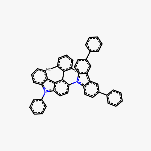 N#Cc1cccc(C#N)c1-c1c(-n2c3ccc(-c4ccccc4)cc3c3cc(-c4ccccc4)ccc32)ccc2c1c1ccccc1n2-c1ccccc1